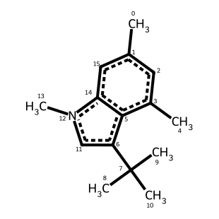 Cc1cc(C)c2c(C(C)(C)C)cn(C)c2c1